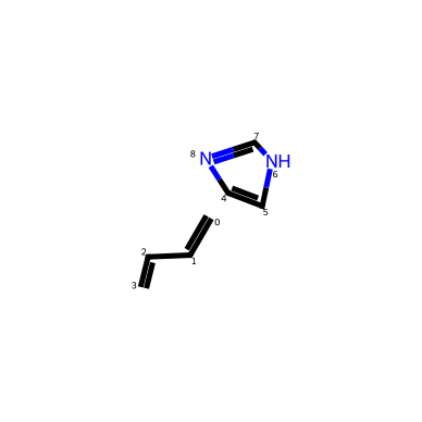 C=CC=C.c1c[nH]cn1